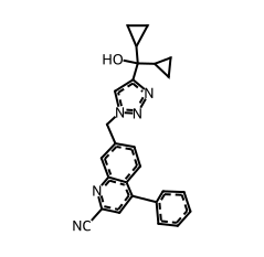 N#Cc1cc(-c2ccccc2)c2ccc(Cn3cc(C(O)(C4CC4)C4CC4)nn3)cc2n1